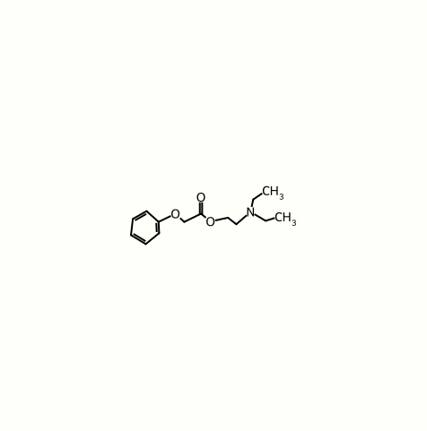 CCN(CC)CCOC(=O)COc1ccccc1